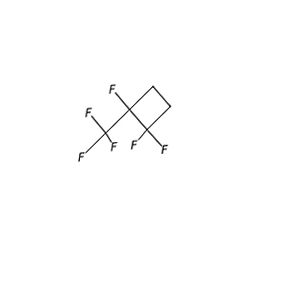 FC(F)(F)C1(F)CCC1(F)F